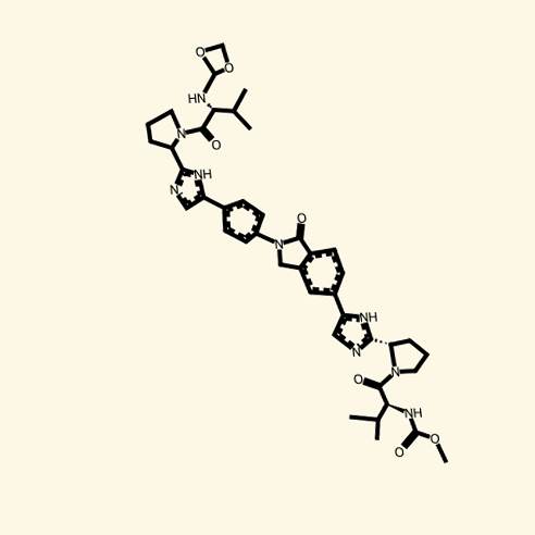 COC(=O)N[C@H](C(=O)N1CCC[C@H]1c1ncc(-c2ccc3c(c2)CN(c2ccc(-c4cnc(C5CCCN5C(=O)[C@H](NC5OCO5)C(C)C)[nH]4)cc2)C3=O)[nH]1)C(C)C